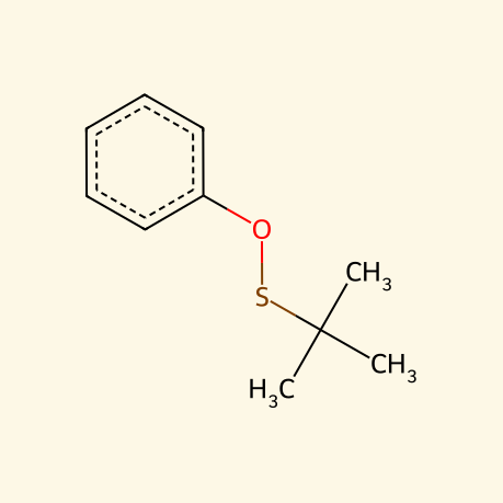 CC(C)(C)SOc1ccccc1